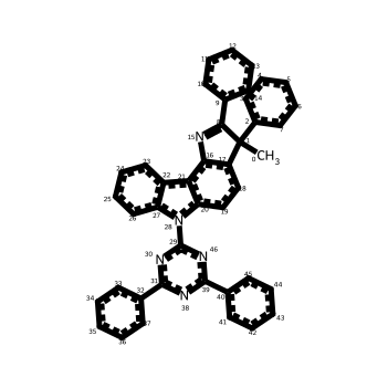 CC1(c2ccccc2)C(c2ccccc2)=Nc2c1ccc1c2c2ccccc2n1-c1nc(-c2ccccc2)nc(-c2ccccc2)n1